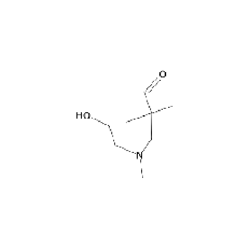 CN(CCO)CC(C)(C)C=O